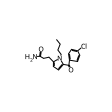 CCCCn1c(CCC(N)=O)ccc1C(=O)c1ccc(Cl)cc1